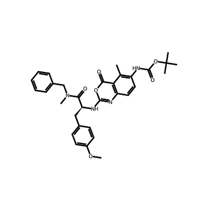 COc1ccc(C[C@H](Nc2nc3ccc(NC(=O)OC(C)(C)C)c(C)c3c(=O)o2)C(=O)N(C)Cc2ccccc2)cc1